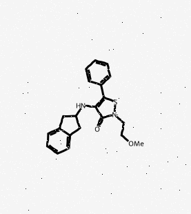 COCCn1sc(-c2ccccc2)c(NC2Cc3ccccc3C2)c1=O